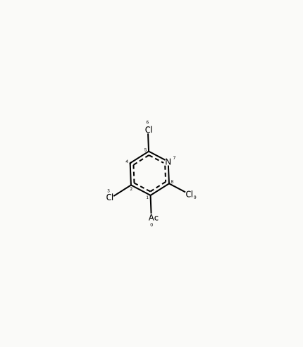 [CH2]C(=O)c1c(Cl)cc(Cl)nc1Cl